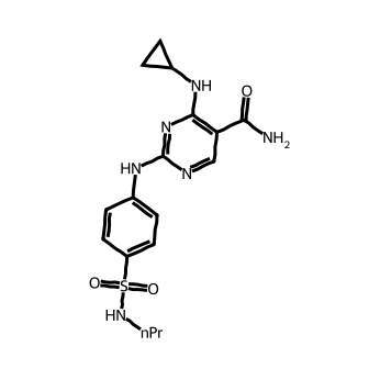 CCCNS(=O)(=O)c1ccc(Nc2ncc(C(N)=O)c(NC3CC3)n2)cc1